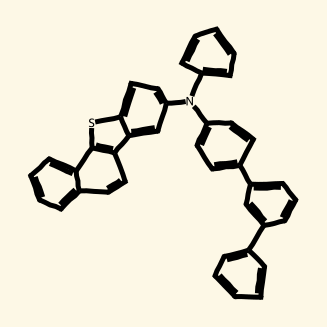 c1ccc(-c2cccc(-c3ccc(N(c4ccccc4)c4ccc5sc6c7ccccc7ccc6c5c4)cc3)c2)cc1